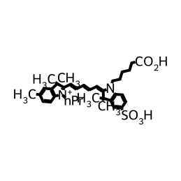 CCC[N+]1=C(/C=C/C=C/C=C2/N(CCCCCC(=O)O)c3ccc(S(=O)(=O)O)cc3C2(C)C)C(C)(C)c2cc(C)ccc21